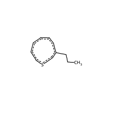 CCCc1ccccccsc1